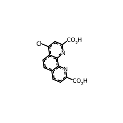 O=C(O)c1ccc2ccc3c(Cl)cc(C(=O)O)nc3c2n1